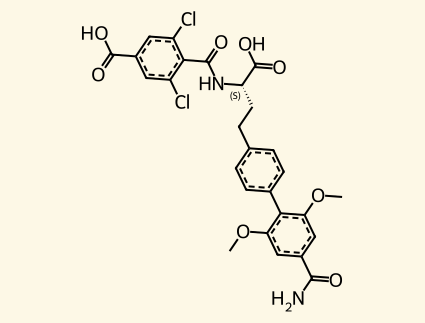 COc1cc(C(N)=O)cc(OC)c1-c1ccc(CC[C@H](NC(=O)c2c(Cl)cc(C(=O)O)cc2Cl)C(=O)O)cc1